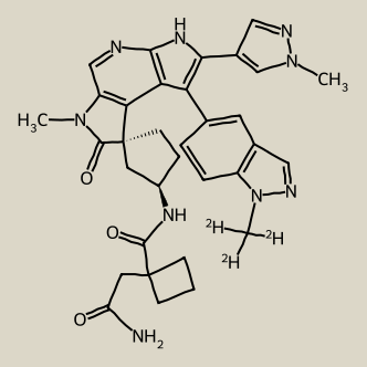 [2H]C([2H])([2H])n1ncc2cc(-c3c(-c4cnn(C)c4)[nH]c4ncc5c(c34)[C@]3(CC[C@@H](NC(=O)C4(CC(N)=O)CCC4)C3)C(=O)N5C)ccc21